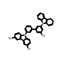 N#Cc1cc(-c2cccc(-n3c4ccc(C#N)cc4c4cc(C#N)ccc43)c2)cc(-n2c3c(c4ccccc42)CCC=C3)c1